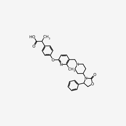 Cc1nc(Oc2ccc(C(C)C(=O)O)cc2)ccc1CN1CCC(N2C(=O)OCC2c2ccccc2)CC1